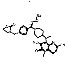 CN(c1c(C#N)c(=O)n(C)c2ccc(C#N)nc12)C1CCC(/C(=N\OC(C)(C)C)c2ccc(CN3CCOC3=O)cc2)CC1